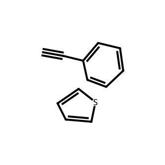 C#Cc1ccccc1.c1ccsc1